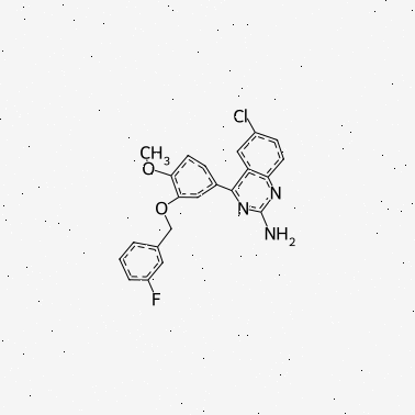 COc1ccc(-c2nc(N)nc3ccc(Cl)cc23)cc1OCc1cccc(F)c1